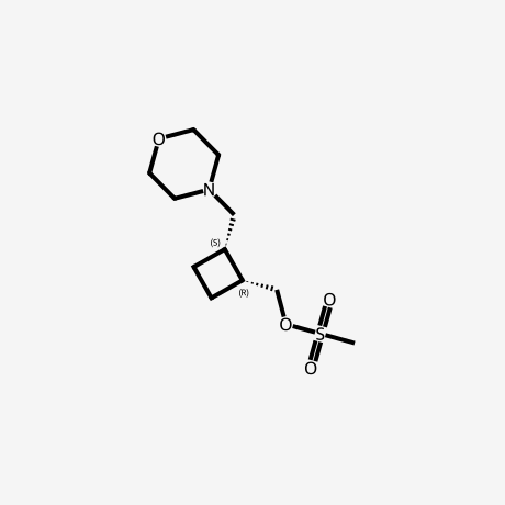 CS(=O)(=O)OC[C@@H]1CC[C@@H]1CN1CCOCC1